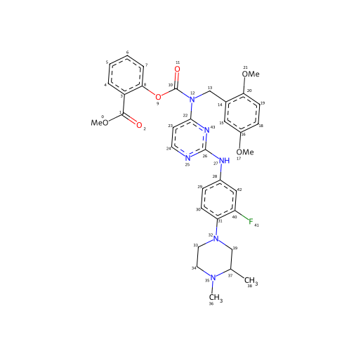 COC(=O)c1ccccc1OC(=O)N(Cc1cc(OC)ccc1OC)c1ccnc(Nc2ccc(N3CCN(C)C(C)C3)c(F)c2)n1